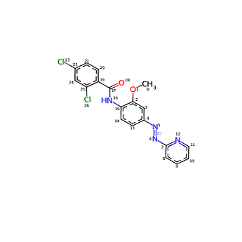 COc1cc(/N=N/c2ccccn2)ccc1NC(=O)c1ccc(Cl)cc1Cl